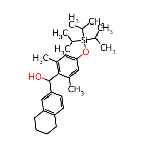 Cc1cc(O[Si](C(C)C)(C(C)C)C(C)C)cc(C)c1C(O)c1ccc2c(c1)CCCC2